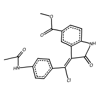 COC(=O)c1ccc2c(c1)/C(=C(/Cl)c1ccc(NC(C)=O)cc1)C(=O)N2